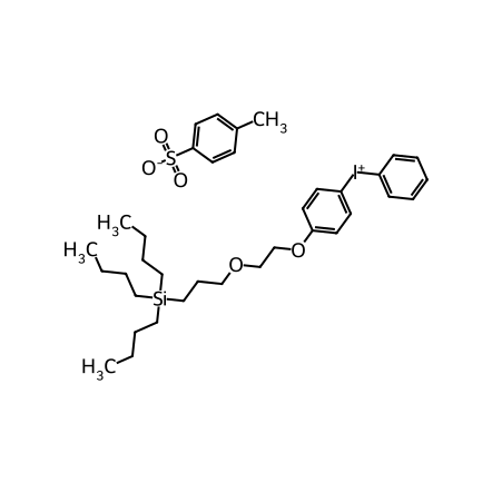 CCCC[Si](CCCC)(CCCC)CCCOCCOc1ccc([I+]c2ccccc2)cc1.Cc1ccc(S(=O)(=O)[O-])cc1